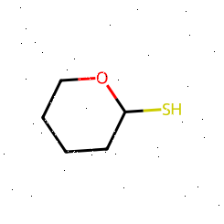 SC1CCCCO1